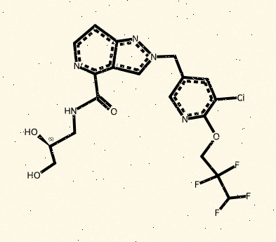 O=C(NC[C@H](O)CO)c1nccc2nn(Cc3cnc(OCC(F)(F)C(F)F)c(Cl)c3)cc12